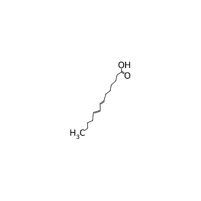 CCCC/C=C/C=C/CCCCCC(=O)O